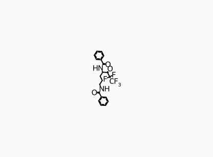 O=C(NCCCC(NC(=O)c1ccccc1)C(=O)C(F)(F)C(F)(F)F)c1ccccc1